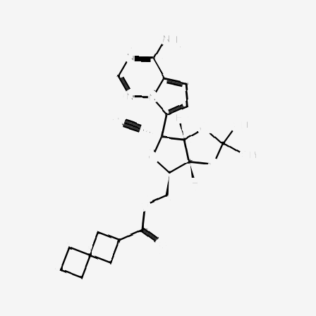 CC1(C)O[C@H]2[C@@H](O1)[C@](C#N)(c1ccc3c(N)ncnn13)O[C@@H]2COC(=O)C1CC2(CCC2)C1